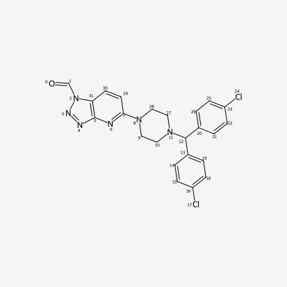 O=Cn1nnc2nc(N3CCN(C(c4ccc(Cl)cc4)c4ccc(Cl)cc4)CC3)ccc21